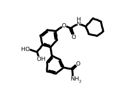 NC(=O)c1cccc(-c2cc(OC(=O)NC3CCCCC3)ccc2C(O)O)c1